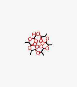 CC(=O)OC(C)C(=O)OC(C)C(=O)OC(C)C(=O)OC(C)C(=O)OC(C)C(=O)O